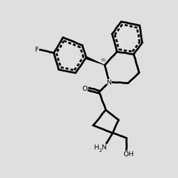 NC1(CO)CC(C(=O)N2CCc3ccccc3[C@@H]2c2ccc(F)cc2)C1